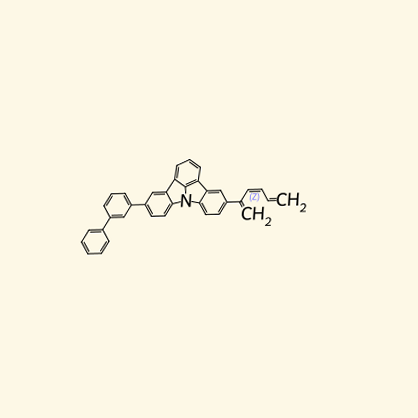 C=C/C=C\C(=C)c1ccc2c(c1)c1cccc3c4cc(-c5cccc(-c6ccccc6)c5)ccc4n2c13